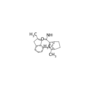 CC1=Cc2c(cccc2-c2c(C)c3c(C)c(c2C([NH])=O)CC3)C1